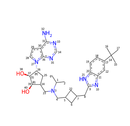 CC(C)N(CC1CC(Cc2nc3cc(C(C)(C)C)ccc3[nH]2)C1)CC1C[C@@H](n2ccc3c(N)ncnc32)[C@H](O)[C@@H]1O